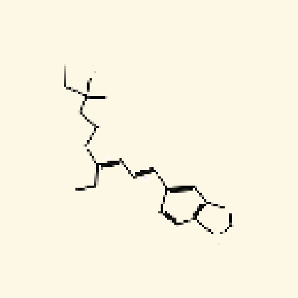 CC/C(=C\C=C\c1ccc2c(c1)OCO2)CCCC(C)(O)CC